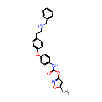 Cc1cc(OC(=O)Nc2ccc(Oc3ccc(CCNCc4ccccc4)cc3)cc2)no1